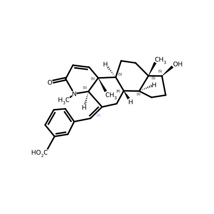 CN1C(=O)C=C[C@]2(C)[C@H]3CC[C@]4(C)[C@@H](O)CC[C@H]4[C@@H]3C/C(=C/c3cccc(C(=O)O)c3)[C@@H]12